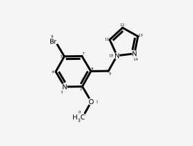 COc1ncc(Br)cc1Cn1cccn1